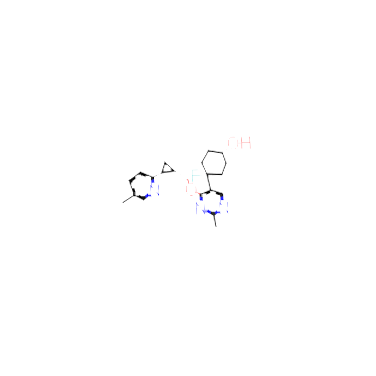 Cc1ccc([C@H]2C[C@@H]2COc2nc(C)ncc2[C@]2(F)CC[C@@H](O)CC2)nc1